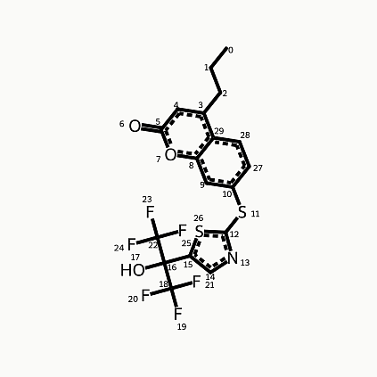 CCCc1cc(=O)oc2cc(Sc3ncc(C(O)(C(F)(F)F)C(F)(F)F)s3)ccc12